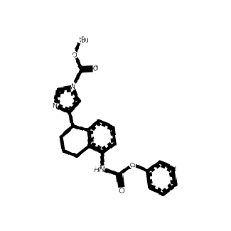 CC(C)(C)OC(=O)n1cnc(C2CCCc3c(NC(=O)Oc4ccccc4)cccc32)c1